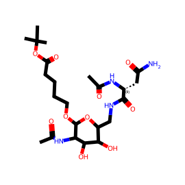 CC(=O)NC1C(OCCCCC(=O)OC(C)(C)C)OC(CNC(=O)[C@@H](CC(N)=O)NC(C)=O)C(O)C1O